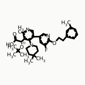 Cc1cccc(CCOc2ncc(-c3cnc(C)c([C@H](OC(C)(C)C)C(=O)O)c3N3CCC(C)(C)CC3)cc2F)c1